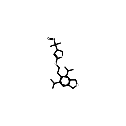 CC(C)c1cc2c(c(C(C)C)c1CCOC1=CC(C(C)(C)N=O)CS1)COC2